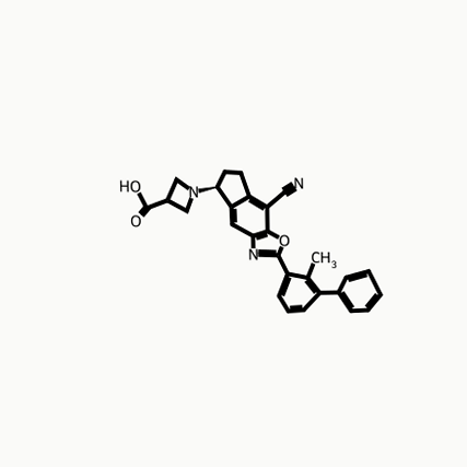 Cc1c(-c2ccccc2)cccc1-c1nc2cc3c(c(C#N)c2o1)CC[C@@H]3N1CC(C(=O)O)C1